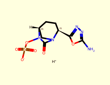 Nc1nnc([C@@H]2CC[C@@H]3CN2C(=O)N3OS(=O)(=O)[O-])o1.[H+]